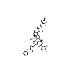 Cc1oc(=O)oc1COC(=O)Nc1ncnn2c([C@]3(C#N)O[C@H](COC(=O)Cc4ccccc4)[C@@H](OC(=O)C(N)C(C)C)[C@H]3O)ccc12